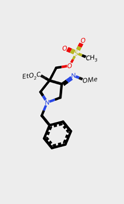 CCOC(=O)C1(COS(C)(=O)=O)CN(Cc2ccccc2)CC1=NOC